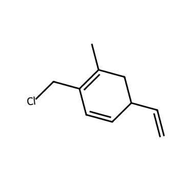 C=CC1C=CC(CCl)=C(C)C1